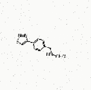 O=CNCc1ccc(-c2csnn2)cc1